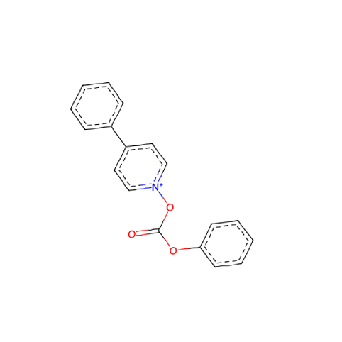 O=C(Oc1ccccc1)O[n+]1ccc(-c2ccccc2)cc1